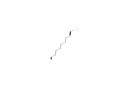 C=CCCC[CH]CCC=CC